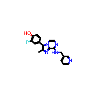 Cc1nc2c(NCc3cccnc3)nccn2c1-c1ccc(O)c(F)c1